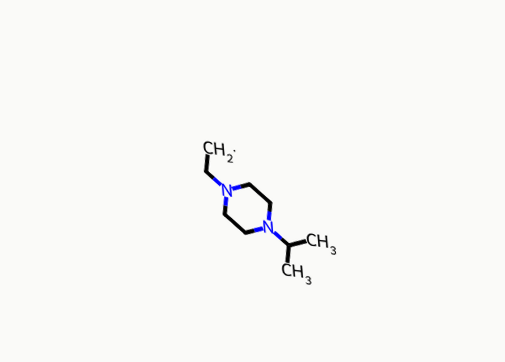 [CH2]CN1CCN(C(C)C)CC1